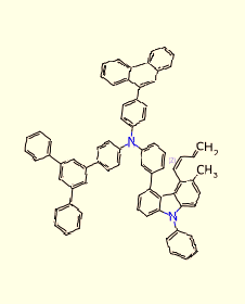 C=C/C=C\c1c(C)ccc2c1c1c(-c3cccc(N(c4ccc(-c5cc(-c6ccccc6)cc(-c6ccccc6)c5)cc4)c4ccc(-c5cc6ccccc6c6ccccc56)cc4)c3)cccc1n2-c1ccccc1